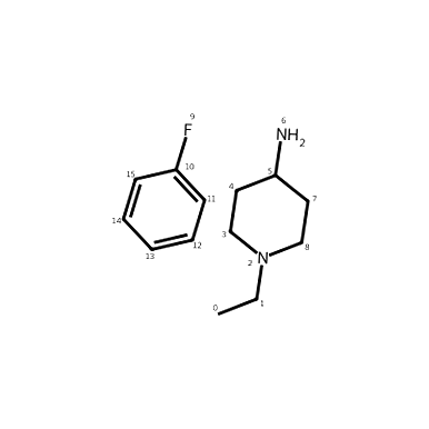 CCN1CCC(N)CC1.Fc1ccccc1